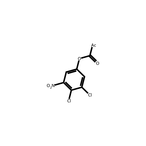 CC(=O)C(=O)Oc1cc(Cl)c(Cl)c([N+](=O)[O-])c1